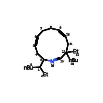 CCCCC(CC)C1CC=CCCC=CCC(CC)(CCCC)C=N1